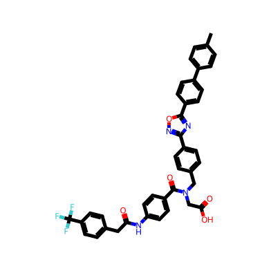 Cc1ccc(-c2ccc(-c3nc(-c4ccc(CN(CC(=O)O)C(=O)c5ccc(NC(=O)Cc6ccc(C(F)(F)F)cc6)cc5)cc4)no3)cc2)cc1